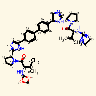 CC(C)[C@H](NC1OCO1)C(=O)N1CCC[C@H]1c1ncc(-c2ccc(-c3ccc(-c4cnc([C@@H]5CCCN5C(=O)[C@H](NC5=NCCN5)C(C)C)[nH]4)cc3)cc2)[nH]1